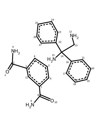 NC(=O)c1cccc(C(N)=O)c1.NCC(N)(c1ccccc1)c1ccccc1